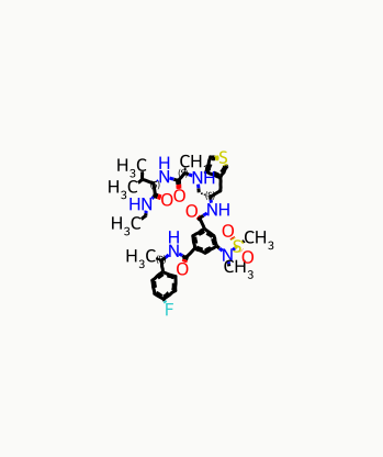 CCNC(=O)[C@@H](NC(=O)[C@H](C)NC[C@H](Cc1ccsc1)NC(=O)c1cc(C(=O)N[C@H](C)c2ccc(F)cc2)cc(N(C)S(C)(=O)=O)c1)C(C)C